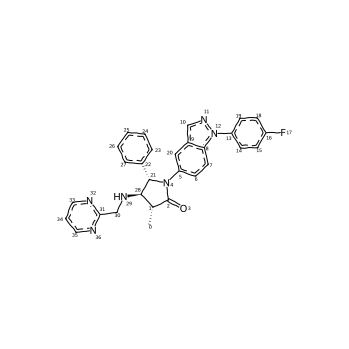 C[C@H]1C(=O)N(c2ccc3c(cnn3-c3ccc(F)cc3)c2)[C@@H](c2ccccc2)[C@@H]1NCc1ncccn1